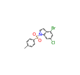 Cc1ccc(S(=O)(=O)n2ccc3c(Br)cc(Cl)cc32)cc1